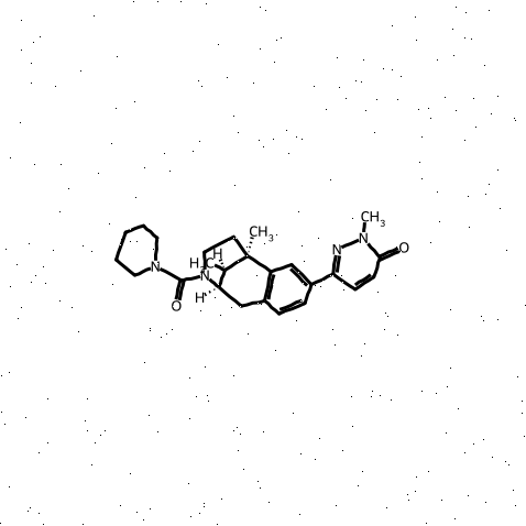 C[C@@H]1[C@H]2Cc3ccc(-c4ccc(=O)n(C)n4)cc3[C@]1(C)CCN2C(=O)N1CCCCC1